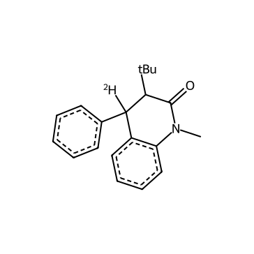 [2H]C1(c2ccccc2)c2ccccc2N(C)C(=O)C1C(C)(C)C